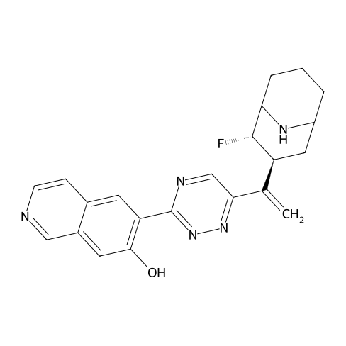 C=C(c1cnc(-c2cc3ccncc3cc2O)nn1)[C@@H]1CC2CCCC(N2)[C@H]1F